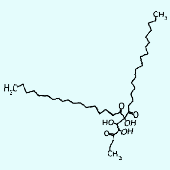 CCCCCCCCCCCCCCCCCC(=O)C(O)(C(=O)CCCCCCCCCCCCCCCCC)C(O)C(O)C(=O)CCC